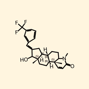 CN1C(=O)C=C[C@@]2(C)C1CC[C@@H]1[C@H]2CC[C@]2(C)C(O)C(=Cc3cccc(C(F)(F)F)c3)C[C@@H]12